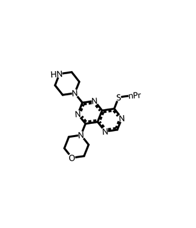 CCCSc1ncnc2c(N3CCOCC3)nc(N3CCNCC3)nc12